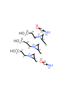 CC1CN1CCC(=O)O.CC1CN1CCC(=O)O.CC1CN1CCC(=O)O.N=C=O.N=C=O